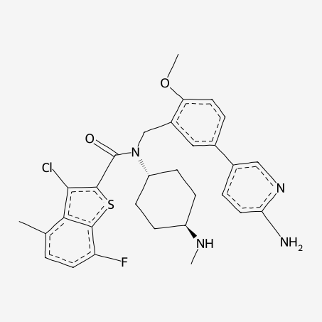 CN[C@H]1CC[C@H](N(Cc2cc(-c3ccc(N)nc3)ccc2OC)C(=O)c2sc3c(F)ccc(C)c3c2Cl)CC1